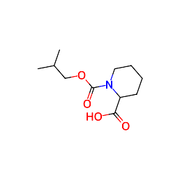 CC(C)COC(=O)N1CCCCC1C(=O)O